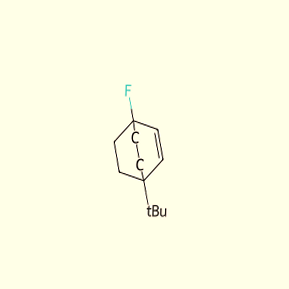 CC(C)(C)C12C=CC(F)(CC1)CC2